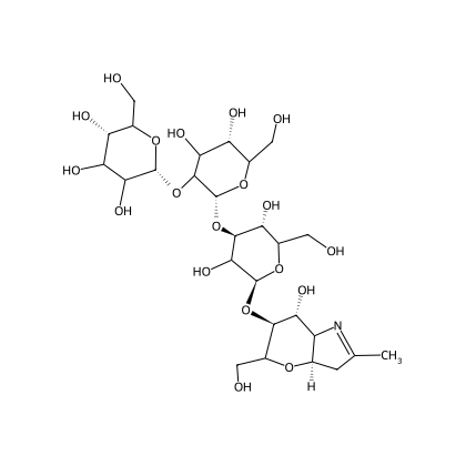 CC1=NC2[C@@H](O)[C@H](O[C@@H]3OC(CO)[C@@H](O)[C@H](O[C@H]4OC(CO)[C@@H](O)C(O)C4O[C@H]4OC(CO)[C@@H](O)C(O)C4O)C3O)C(CO)O[C@@H]2C1